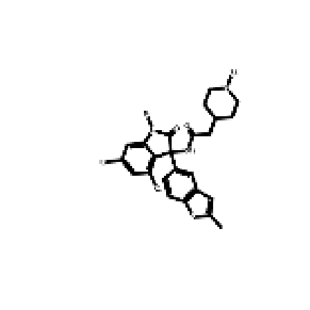 CCN1CCC(CC(=O)NC2(c3ccc4sc(C)cc4c3)C(=O)N(CC)c3cc(Cl)cc(Cl)c32)CC1